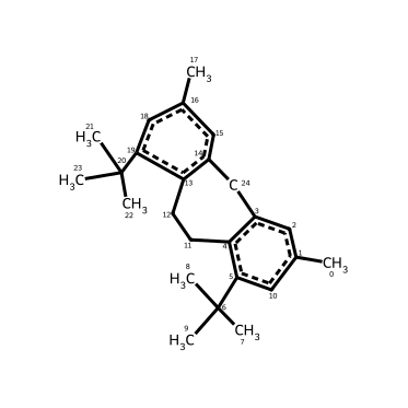 Cc1cc2c(c(C(C)(C)C)c1)CCc1c(cc(C)cc1C(C)(C)C)C2